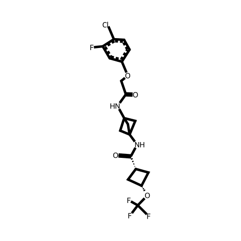 O=C(COc1ccc(Cl)c(F)c1)NC12CC(NC(=O)[C@H]3C[C@@H](OC(F)(F)F)C3)(C1)C2